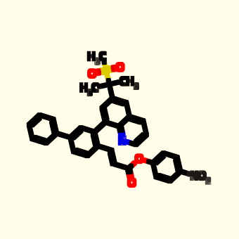 CC(C)(c1cc(-c2cc(-c3ccccc3)ccc2C=CC(=O)Oc2ccc([N+](=O)[O-])cc2)c2ncccc2c1)S(C)(=O)=O